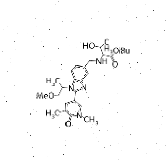 COCC(C)n1c(-c2cc(C)c(=O)n(C)c2)nc2cc(CNC(C(=O)OCC(C)C)C(C)O)ccc21